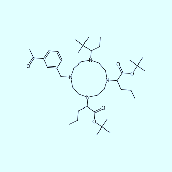 CCCC(C(=O)OC(C)(C)C)N1CCN(Cc2cccc(C(C)=O)c2)CCN(C(CC)C(C)(C)C)CCN(C(CCC)C(=O)OC(C)(C)C)CC1